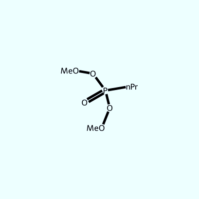 [CH2]CCP(=O)(OOC)OOC